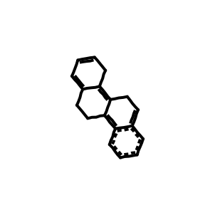 C1=CCC2=C3CC=c4ccccc4=C3CCC2=C1